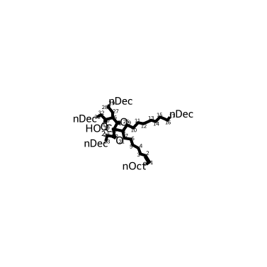 CCCCCCCC/C=C\CCCCCC(CCCCCCCCCCCCCCCCCC)C(C(=O)O)(C(=O)CCCCCCCCCCC)C(=O)C(CCCCCCCCCCCC)C(=O)CCCCCCCCCCC